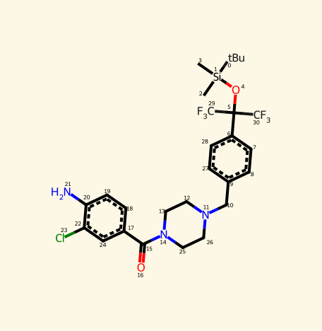 CC(C)(C)[Si](C)(C)OC(c1ccc(CN2CCN(C(=O)c3ccc(N)c(Cl)c3)CC2)cc1)(C(F)(F)F)C(F)(F)F